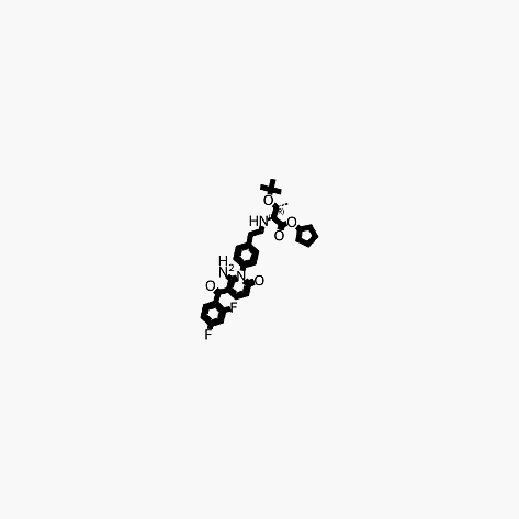 C[C@@H](OC(C)(C)C)[C@H](NCCc1ccc(-n2c(N)c(C(=O)c3ccc(F)cc3F)ccc2=O)cc1)C(=O)OC1CCCC1